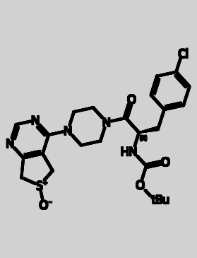 CC(C)(C)OC(=O)N[C@H](Cc1ccc(Cl)cc1)C(=O)N1CCN(c2ncnc3c2C[S+]([O-])C3)CC1